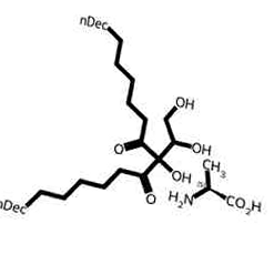 CCCCCCCCCCCCCCCC(=O)C(O)(C(=O)CCCCCCCCCCCCCCC)C(O)CO.C[C@H](N)C(=O)O